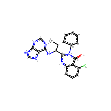 CCC(Nc1ncnc2[nH]cnc12)c1nc2cccc(Cl)c2c(=O)n1-c1ccccc1